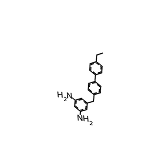 CCc1ccc(-c2ccc(Cc3cc(N)cc(N)c3)cc2)cc1